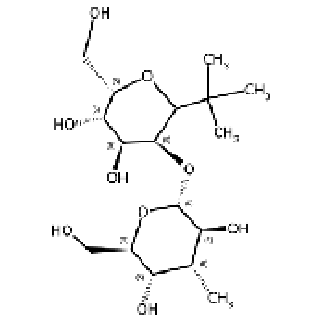 C[C@H]1[C@H](O)[C@@H](O[C@@H]2C(C(C)(C)C)O[C@@H](CO)[C@@H](O)[C@@H]2O)O[C@H](CO)[C@H]1O